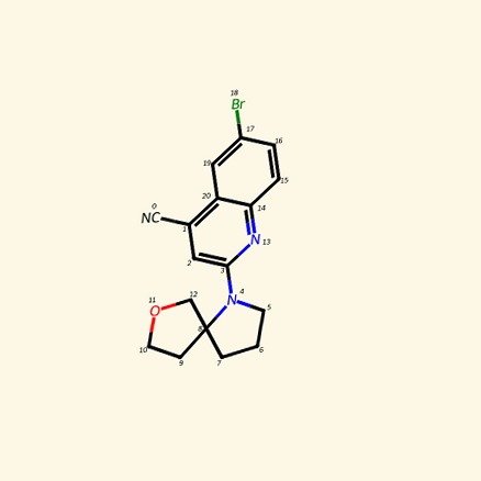 N#Cc1cc(N2CCCC23CCOC3)nc2ccc(Br)cc12